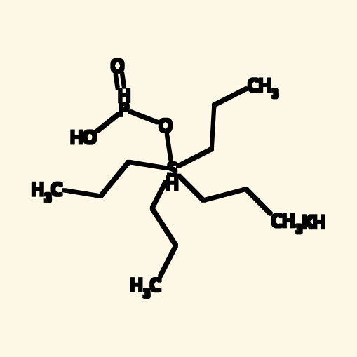 CCC[SH](CCC)(CCC)(CCC)O[PH](=O)O.[KH]